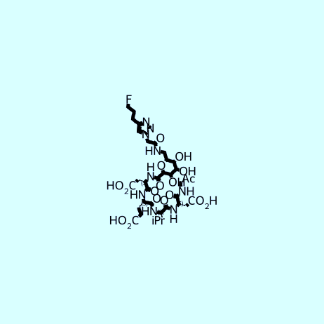 CC(=O)CNC(=O)[C@H](CC(=O)O)NC(=O)[C@@H](NC(=O)[C@H](CCC(=O)O)NC(=O)[C@H](CC(=O)O)NC(=O)C1OC(CNC(=O)Cn2cc(CCCF)nn2)C(O)C(O)C1O)C(C)C